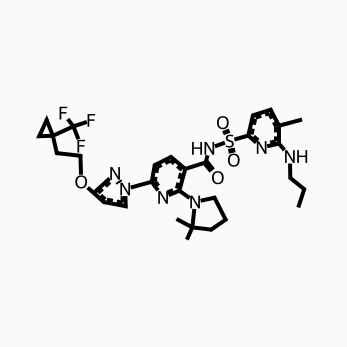 CCCNc1nc(S(=O)(=O)NC(=O)c2ccc(-n3ccc(OCCC4(C(F)(F)F)CC4)n3)nc2N2CCCC2(C)C)ccc1C